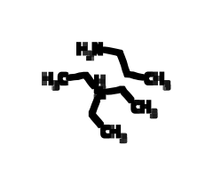 CCCN.CC[SiH](CC)CC